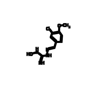 COc1ccc(/C=N/NC(=N)NO)cc1Cl